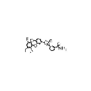 C=Nc1c(F)cc(F)cc1Oc1cc([C@H]2CC(=O)N(c3cccc(C(N)=O)c3)C2)ccc1Cl